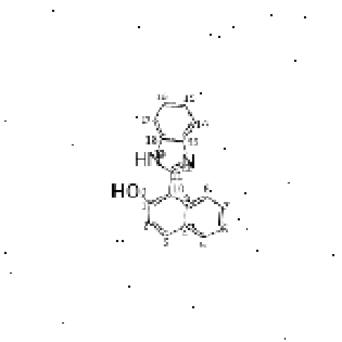 Oc1ccc2ccccc2c1-c1nc2ccccc2[nH]1